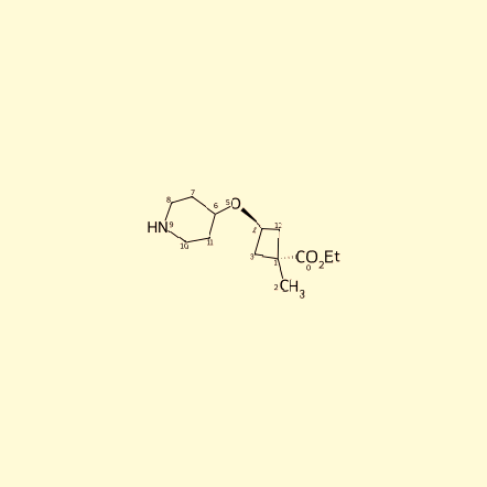 CCOC(=O)[C@]1(C)C[C@@H](OC2CCNCC2)C1